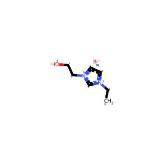 CCn1cc[n+](CCO)c1.[Br-]